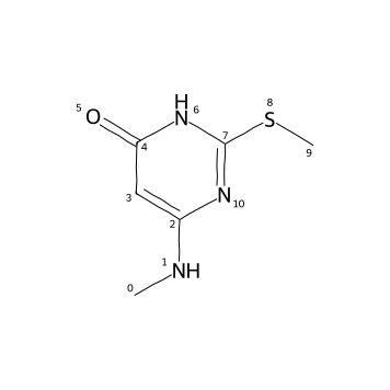 CNc1cc(=O)[nH]c(SC)n1